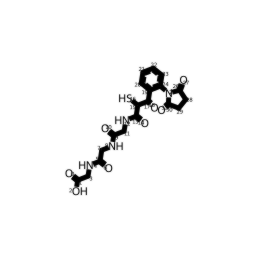 O=C(O)CNC(=O)CNC(=O)CNC(=O)C(S)C(=O)c1ccccc1N1C(=O)CCC1=O